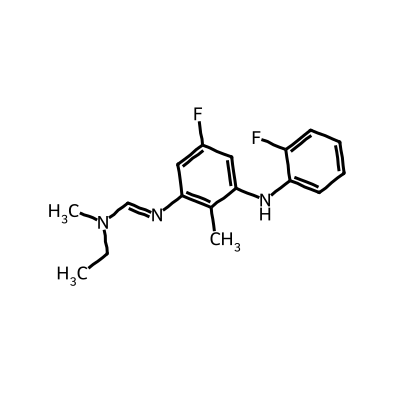 CCN(C)/C=N/c1cc(F)cc(Nc2ccccc2F)c1C